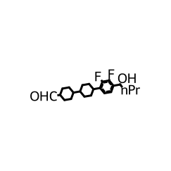 CCCC(O)c1ccc(C2CCC(C3CCC(C=O)CC3)CC2)c(F)c1F